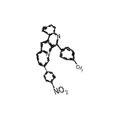 Cc1ccc(-c2nc3ccccc3c3cc4ccc(-c5ccc([N+](=O)[O-])cc5)cn4c23)cc1